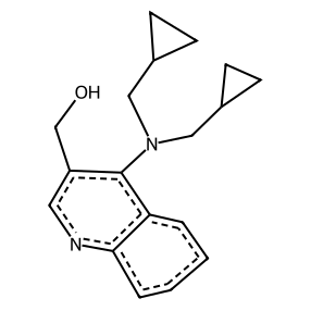 OCc1cnc2ccccc2c1N(CC1CC1)CC1CC1